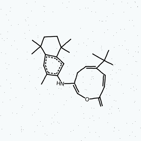 C=C1/C=C\C(C(C)(C)C)=C/C/C(Nc2cc3c(cc2C)C(C)(C)CCC3(C)C)=C\O1